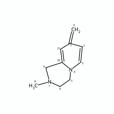 C=C1C=CN2CCN(C)CC2=C1